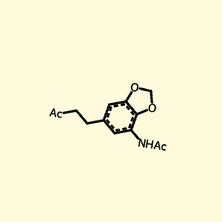 CC(=O)CCc1cc(NC(C)=O)c2c(c1)OCO2